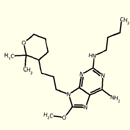 CCCCNc1nc(N)c2nc(OC)n(CCCC3CCCOC3(C)C)c2n1